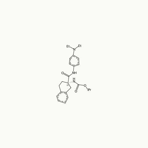 CCN(CC)c1ccc(NC(=O)[C@]2(NC(=O)OC(C)C)CCc3ccccc3C2)cc1